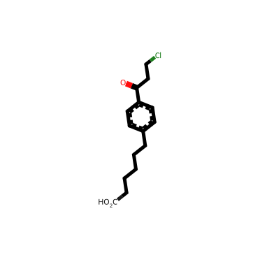 O=C(O)CCCCCc1ccc(C(=O)CCCl)cc1